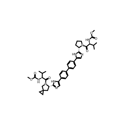 COC(=O)N[C@H](C(=O)N1CCC[C@H]1c1ncc(-c2ccc(-c3ccc(-c4cnc([C@@H]5CC6(CC6)CN5C(=O)[C@@H](NC(=O)OC)C(C)C)[nH]4)cc3)cc2)[nH]1)C(C)C